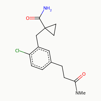 CNC(=O)CCc1ccc(Cl)c(CC2(C(N)=O)CC2)c1